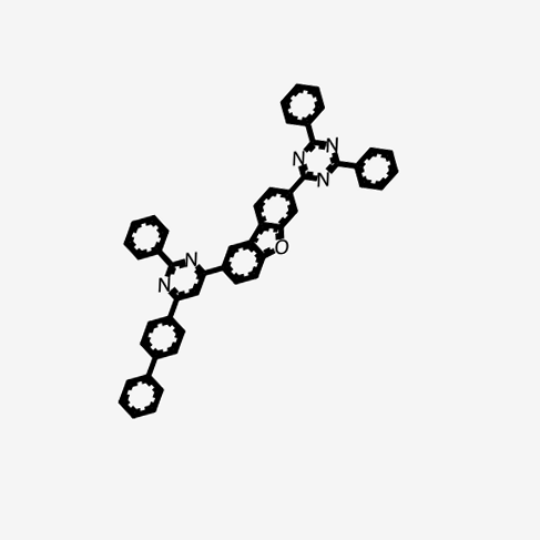 c1ccc(-c2ccc(-c3cc(-c4ccc5oc6cc(-c7nc(-c8ccccc8)nc(-c8ccccc8)n7)ccc6c5c4)nc(-c4ccccc4)n3)cc2)cc1